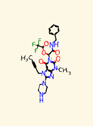 CC#CCn1c(N2CCNCC2)nc2c1c(=O)n(C(OC(=O)C(F)(F)F)C(=O)NCc1ccccc1)c(=O)n2C